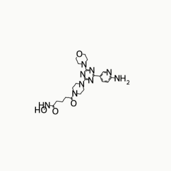 Nc1ccc(-c2nc(N3CCOCC3)nc(N3CCN(C(=O)CCCC(=O)NO)CC3)n2)cn1